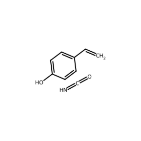 C=Cc1ccc(O)cc1.N=C=O